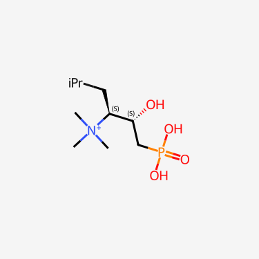 CC(C)C[C@@H]([C@H](O)CP(=O)(O)O)[N+](C)(C)C